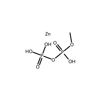 COP(=O)(O)OP(=O)(O)O.[Zn]